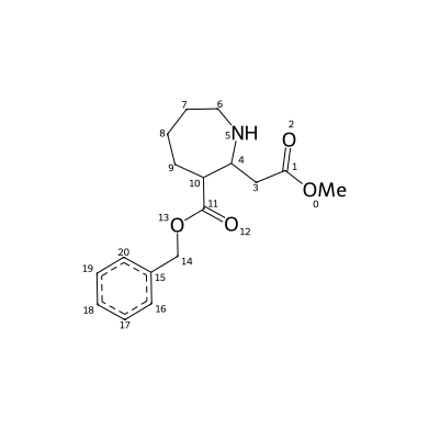 COC(=O)CC1NCCCCC1C(=O)OCc1ccccc1